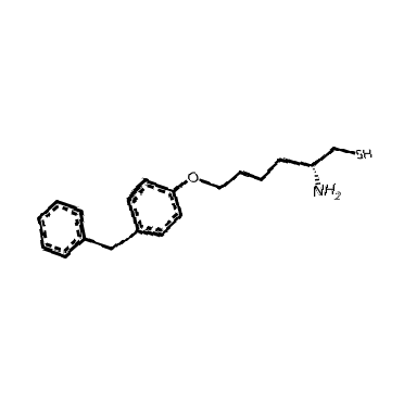 N[C@@H](CS)CCCCOc1ccc(Cc2ccccc2)cc1